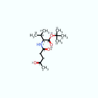 CC(=O)CCC(=O)NC(C(=O)OC(C)(C)C)C(C)C